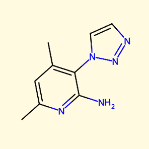 Cc1cc(C)c(-n2ccnn2)c(N)n1